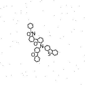 c1ccc(-c2nc3c(ccc4oc5c(N(c6ccc7c(c6)sc6ccccc67)c6ccc7oc8ccccc8c7c6)cccc5c43)o2)cc1